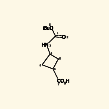 CC(C)COC(=O)NC1CC(C(=O)O)C1